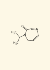 CC(C)N1CC=CN=CC1=O